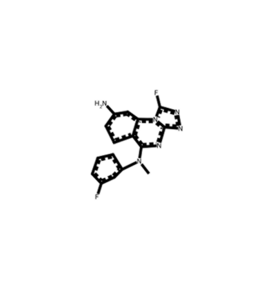 CN(c1cccc(F)c1)c1nc2nnc(F)n2c2cc(N)ccc12